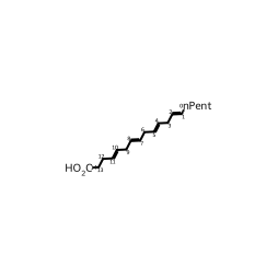 CCCCC/C=C/C/C=C/C/C=C/C/C=C/CCC(=O)O